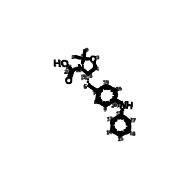 CC1(C)OC[C@H](Cc2ccc(Nc3ccccc3)cc2)N1C(=O)O